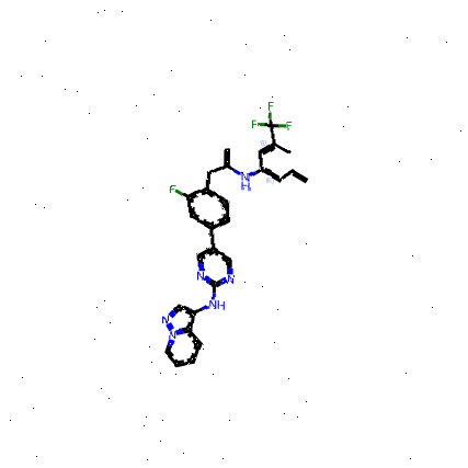 C=C/C=C(\C=C(/C)C(F)(F)F)NC(=C)Cc1ccc(-c2cnc(Nc3cnn4ccccc34)nc2)cc1F